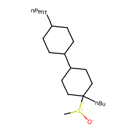 CCCCCC1CCC(C2CCC(CCCC)([S+](C)[O-])CC2)CC1